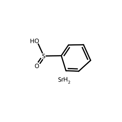 O=S(O)c1ccccc1.[SrH2]